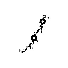 CCOC(=O)COc1ccc(SCCNS(=O)(=O)c2ccc(C)cc2)cc1F